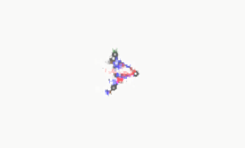 Cc1ncsc1-c1ccc(CNC(=O)C2C[C@@H](O)CN2C(=O)[C@@H](NC(=O)COc2ccccc2OCCCNC(=O)C[C@@H]2N=C(c3ccc(Cl)cc3)c3c(sc(C)c3C)-n3c(C)nnc32)C(C)(C)C)cc1